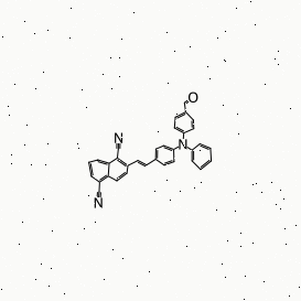 N#Cc1cccc2c(C#N)c(C=Cc3ccc(N(c4ccccc4)c4ccc(C=O)cc4)cc3)ccc12